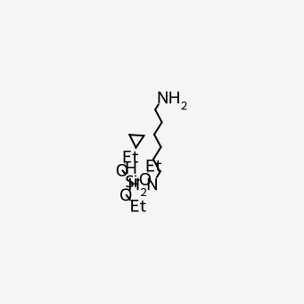 C1CC1.CCO[SiH](OCC)OCC.NCCCCCCN